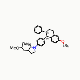 COC(CC1CCN(c2ccc([C@@H]3c4ccc(OC(C)(C)C)cc4CC[C@@H]3c3ccccc3)cc2)C1)OC